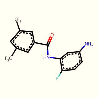 Nc1ccc(F)c(NC(=O)c2cc(C(F)(F)F)cc(C(F)(F)F)c2)c1